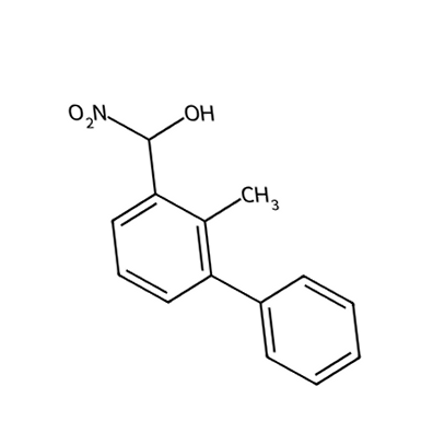 Cc1c(-c2ccccc2)cccc1C(O)[N+](=O)[O-]